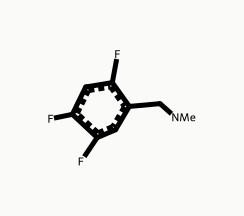 CNCc1cc(F)c(F)cc1F